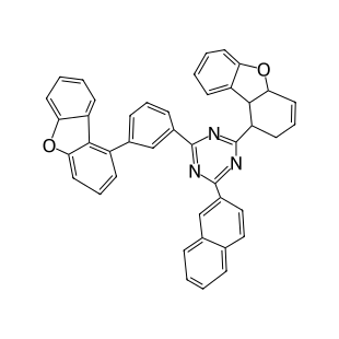 C1=CC2Oc3ccccc3C2C(c2nc(-c3cccc(-c4cccc5oc6ccccc6c45)c3)nc(-c3ccc4ccccc4c3)n2)C1